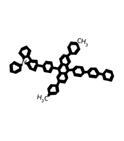 Cc1ccc(-c2ccc3c(-c4ccc(-c5ccc6c(c5)c5ccccc5n6-c5ccccc5)cc4)c4cc(-c5ccc(C)cc5)ccc4c(-c4ccc(-c5ccc(-c6ccccc6)cc5)cc4)c3c2)cc1